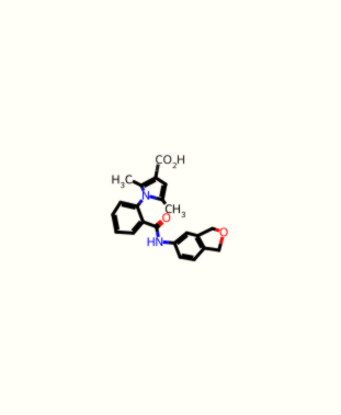 Cc1cc(C(=O)O)c(C)n1-c1ccccc1C(=O)Nc1ccc2c(c1)COC2